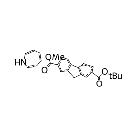 C1=CC=CNC=C1.COC(=O)c1ccc2c(c1)Cc1cc(C(=O)OC(C)(C)C)ccc1-2